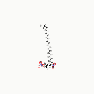 CCCCCCCCCCCCCCCCCCCCC(C)(CCCO[N+](=O)[O-])[N+](=O)[O-]